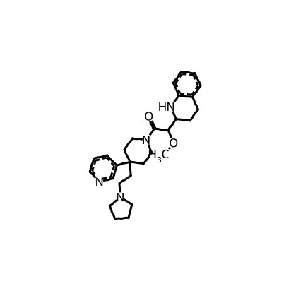 COC(C(=O)N1CCC(CCN2CCCC2)(c2cccnc2)CC1)C1CCc2ccccc2N1